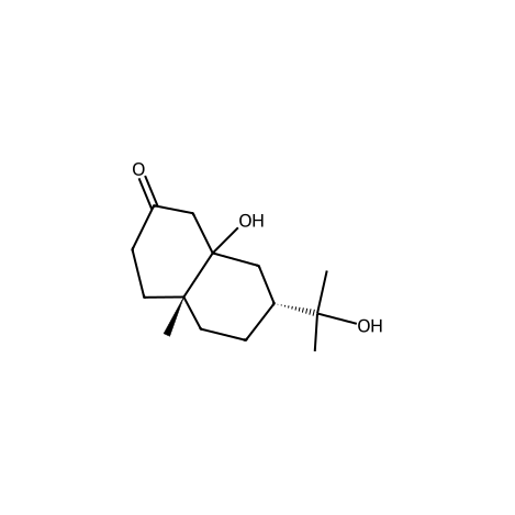 CC(C)(O)[C@@H]1CC[C@]2(C)CCC(=O)CC2(O)C1